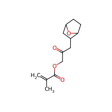 C=C(C)C(=O)OCC(=O)CC1CC2CCC1O2